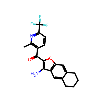 Cc1nc(C(F)(F)F)ccc1C(=O)c1oc2cc3c(cc2c1N)CCCC3